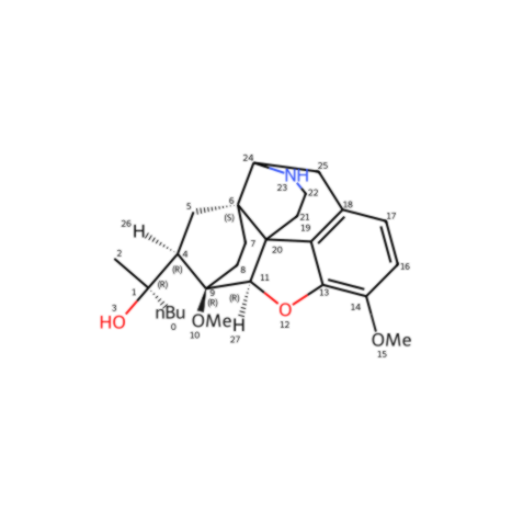 CCCC[C@@](C)(O)[C@H]1C[C@@]23CC[C@]1(OC)[C@@H]1Oc4c(OC)ccc5c4C12CCNC3C5